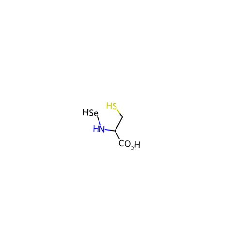 O=C(O)C(CS)N[SeH]